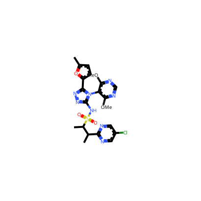 COc1ncnc(OC)c1-n1c(NS(=O)(=O)C(C)C(C)c2ncc(Cl)cn2)nnc1-c1ccc(C)o1